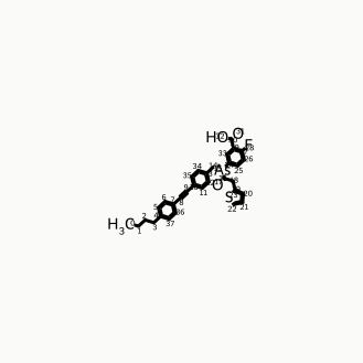 CCCCc1ccc(C#Cc2ccc(C[As](C(=O)Cc3cccs3)c3ccc(F)c(C(=O)O)c3)cc2)cc1